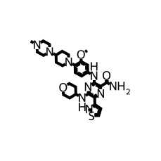 COc1cc(Nc2nc(NC3CCOCC3)c(-c3ccsn3)nc2C(N)=O)ccc1N1CCC(N2CCN(C)CC2)CC1